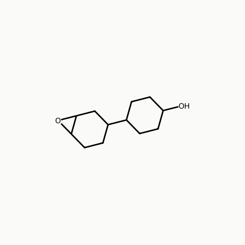 OC1CCC(C2CCC3OC3C2)CC1